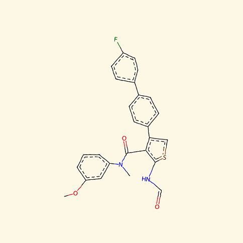 COc1cccc(N(C)C(=O)c2c(-c3ccc(-c4ccc(F)cc4)cc3)csc2NC=O)c1